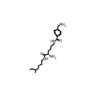 CCC(C)CCCCNC(=O)[C@H](N)CCCCNC(=O)c1ccc(CN)cc1